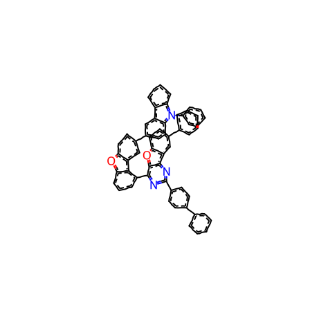 c1ccc(-c2ccc(-c3nc(-c4cccc5oc6ccc(-c7ccc8c(c7)c7ccccc7n8-c7ccccc7)cc6c45)c4oc5ccc(-c6ccccc6)cc5c4n3)cc2)cc1